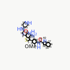 COc1cc(-c2csc3c(/C=C\C(=O)NC4CCNCC4)cnc(N)c23)ccc1NC(=O)c1cc2ccccc2n1C